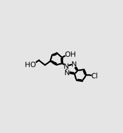 OCCc1ccc(O)c(-n2nc3ccc(Cl)cc3n2)c1